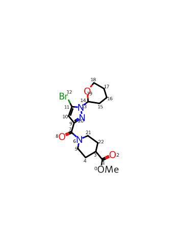 COC(=O)C1CCN(C(=O)c2cc(Br)n(C3CCCCO3)n2)CC1